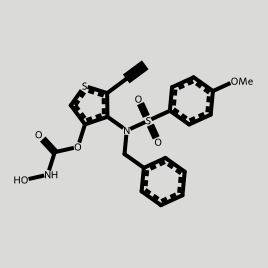 C#Cc1scc(OC(=O)NO)c1N(Cc1ccccc1)S(=O)(=O)c1ccc(OC)cc1